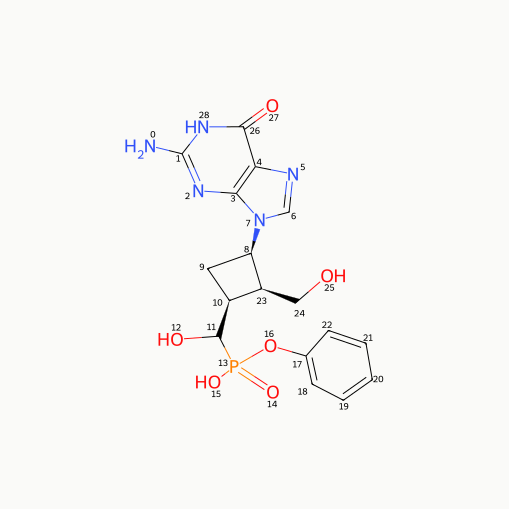 Nc1nc2c(ncn2[C@@H]2C[C@H](C(O)P(=O)(O)Oc3ccccc3)[C@@H]2CO)c(=O)[nH]1